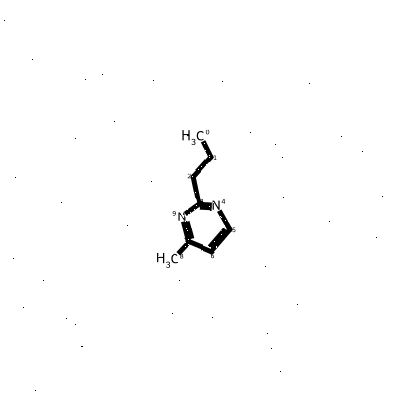 CCCc1nccc(C)n1